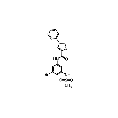 CS(=O)(=O)Nc1cc(Br)cc(NC(=O)c2cc(-c3cccnc3)cs2)c1